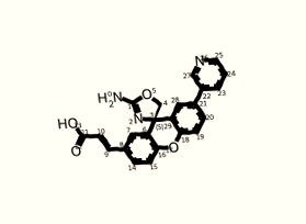 NC1=N[C@@]2(CO1)c1cc(C=CC(=O)O)ccc1Oc1ccc(-c3cccnc3)cc12